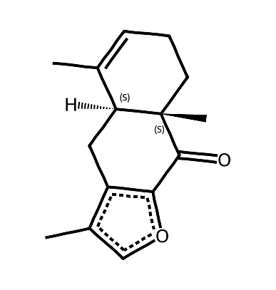 CC1=CCC[C@]2(C)C(=O)c3occ(C)c3C[C@@H]12